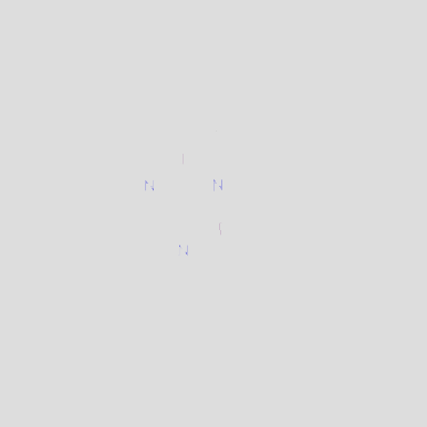 c1ccc(CC2=NP(c3ccccc3)(c3ccccc3)=NP(c3ccccc3)(c3ccccc3)=N2)cc1